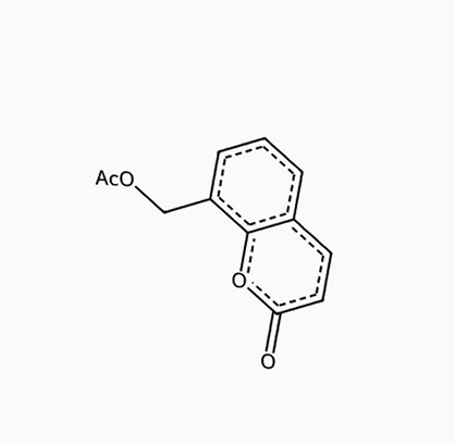 CC(=O)OCc1cccc2ccc(=O)oc12